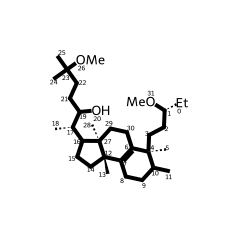 CC[C@H](CC[C@]1(C)C2=C(CCC1C)[C@]1(C)CCC([C@H](C)C(O)CCC(C)(C)OC)[C@@]1(C)CC2)OC